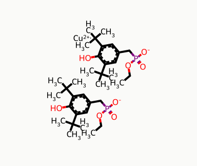 CCOP(=O)([O-])Cc1cc(C(C)(C)C)c(O)c(C(C)(C)C)c1.CCOP(=O)([O-])Cc1cc(C(C)(C)C)c(O)c(C(C)(C)C)c1.[Cu+2]